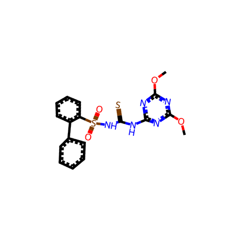 COc1nc(NC(=S)NS(=O)(=O)c2ccccc2-c2ccccc2)nc(OC)n1